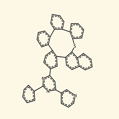 c1ccc(-c2nc(-c3cccnc3)cc(-c3ccc4c(c3)-c3ccc5ccccc5c3Sc3ccccc3-c3ccccc3-c3ccccc3-4)n2)cc1